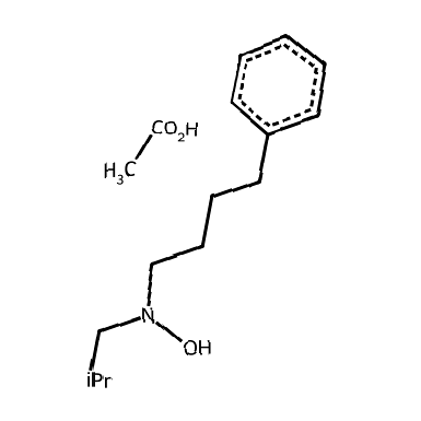 CC(=O)O.CC(C)CN(O)CCCCc1ccccc1